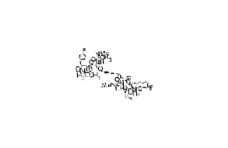 CN[C@@H](C)C(=O)N[C@@H](COCC#CC#CCOC[C@H](NC(=O)[C@H](C)NC)C(=O)N1CC(C)(C)c2[nH]c(=O)c(Cc3ccc(F)cc3)cc21)C(=O)N1CC(C)(C)c2[nH]c(=O)c(Cc3ccc(F)cc3)cc21